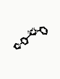 c1ccc(-n2cc(-c3ccc(-n4cccc4)cc3)nn2)cc1